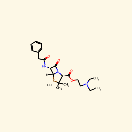 CCN(CC)CCOC(=O)[C@@H]1N2C(=O)[C@@H](NC(=O)Cc3ccccc3)[C@H]2SC1(C)C.[HH]